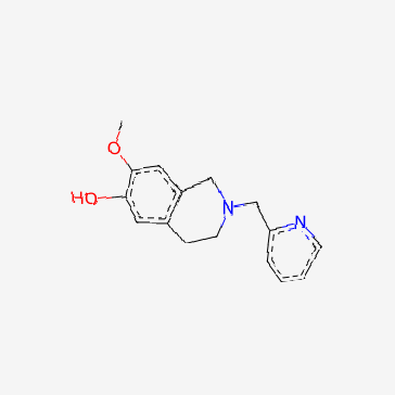 COc1cc2c(cc1O)CCN(Cc1ccccn1)C2